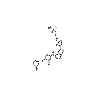 CCCS(=O)(=O)CCOCc1nc(-c2cc3c(Nc4ccc(OCc5cccc(F)c5)c(Cl)c4)ncnc3cn2)cs1